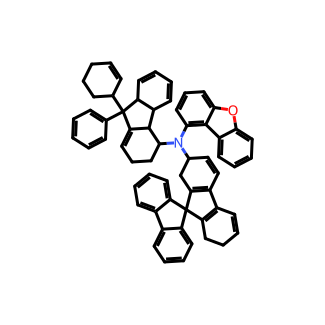 C1=CC2C3C(=CCCC3N(c3cccc4oc5ccccc5c34)C3C=CC4=C(C3)C3(C5=C4C=CCC5)c4ccccc4-c4ccccc43)C(c3ccccc3)(C3C=CCCC3)C2C=C1